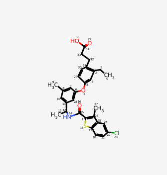 CCc1cc(Oc2cc(C)cc(C(C)NC(=O)c3sc4ccc(Cl)cc4c3C)c2)ccc1CCC(=O)O